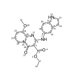 CCOC(=O)c1c(Nc2ccc3[nH]ccc3c2)nc2c(OC)cccn2c1=O